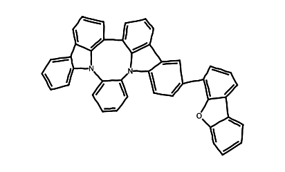 c1ccc2c(c1)oc1c(-c3ccc4c(c3)c3cccc5c6cccc7c8ccccc8n(c8ccccc8n4c35)c76)cccc12